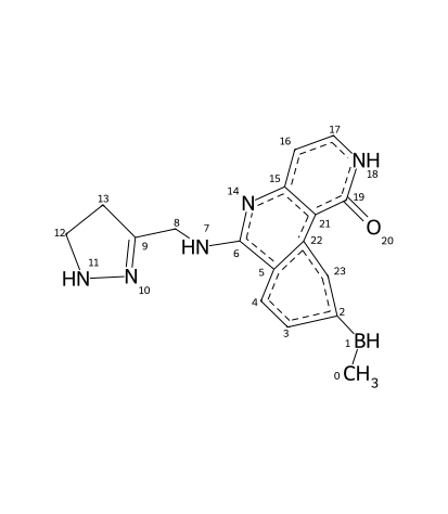 CBc1ccc2c(NCC3=NNCC3)nc3cc[nH]c(=O)c3c2c1